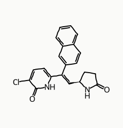 O=C1CC[C@H](/C=C(\c2ccc3ccccc3c2)c2ccc(Cl)c(=O)[nH]2)N1